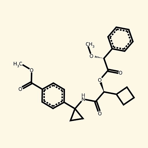 COC(=O)c1ccc(C2(NC(=O)[C@@H](OC(=O)[C@H](OC)c3ccccc3)C3CCC3)CC2)cc1